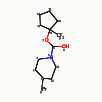 CC(C)C1CCN(C(O)OC2(C(F)(F)F)CCCC2)CC1